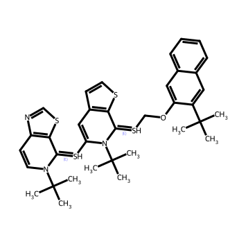 CC(C)(C)c1cc2ccccc2cc1OC/[SH]=c1\c2sccc2cc(/[SH]=c2\c3scnc3ccn2C(C)(C)C)n1C(C)(C)C